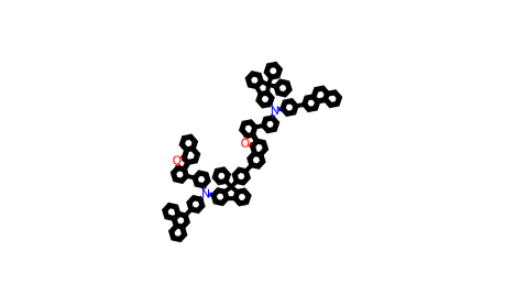 c1ccc(C2(c3ccc(-c4ccc5ccc6c(oc7cccc(-c8cccc(N(c9ccc(-c%10ccc%11c(ccc%12ccccc%12%11)c%10)cc9)c9ccc%10c(c9)C(c9ccccc9)(c9ccccc9)c9ccccc9-%10)c8)c76)c5c4)cc3)c3ccccc3-c3ccc(N(c4ccc(-c5cc6ccccc6c6ccccc56)cc4)c4cccc(-c5cccc6oc7c8ccccc8ccc7c56)c4)cc32)cc1